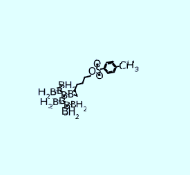 BB(B)B(B)B(B(B)B)B1CC1CCCCOS(=O)(=O)c1ccc(C)cc1